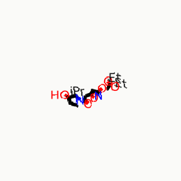 CCOC(COc1cc(C(C(=O)N2CCC(O)C2)C(C)C)on1)OCC